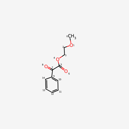 COCCOC(=O)C(=O)c1ccccc1